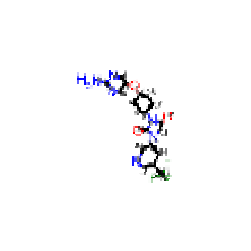 Nc1ncc(Oc2ccc(N3C(=O)CN(c4cncc(C(F)(F)F)c4)C3=O)cc2)cn1